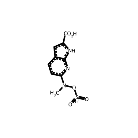 CN(O[SH](=O)=O)c1ccc2cc(C(=O)O)[nH]c2n1